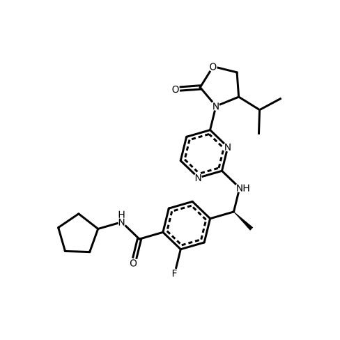 CC(C)C1COC(=O)N1c1ccnc(N[C@@H](C)c2ccc(C(=O)NC3CCCC3)c(F)c2)n1